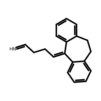 N=CCCC=C1c2ccccc2CCc2ccccc21